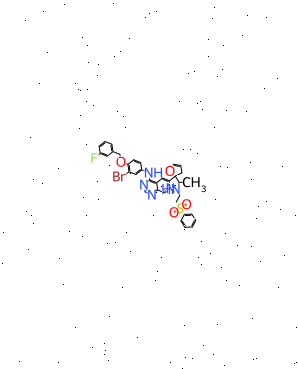 CC(NCCS(=O)(=O)c1ccccc1)C1(c2cc3c(Nc4ccc(OCc5cccc(F)c5)c(Br)c4)ncnc3cn2)CC=CO1